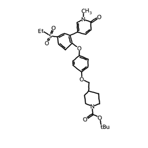 CCS(=O)(=O)c1ccc(Oc2ccc(OCC3CCN(C(=O)OC(C)(C)C)CC3)cc2)c(-c2ccc(=O)n(C)c2)c1